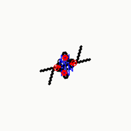 [C-]#[N+]/C(c1cnc2ccccc2n1)=c1\c2c(-c3cccc(OCC(CCCCCCCC)CCCCCCCCCC)c3)n(B(c3ccccc3)c3ccccc3)/c(=C(/C#N)c3cnc4ccccc4n3)c2c(-c2cccc(OCC(CCCCCCCC)CCCCCCCCCC)c2)n1B(c1ccccc1)c1ccccc1